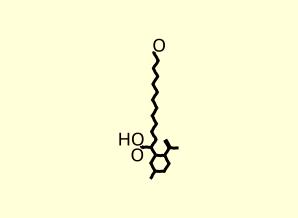 C=C(C)C1CCC(C)CC1C(CCCCCCCCCCCC=O)C(=O)O